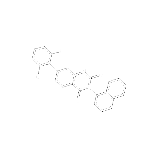 O=c1[nH]c2cc(-c3c(F)cccc3Cl)ccc2c(=O)n1-c1cccc2ccccc12